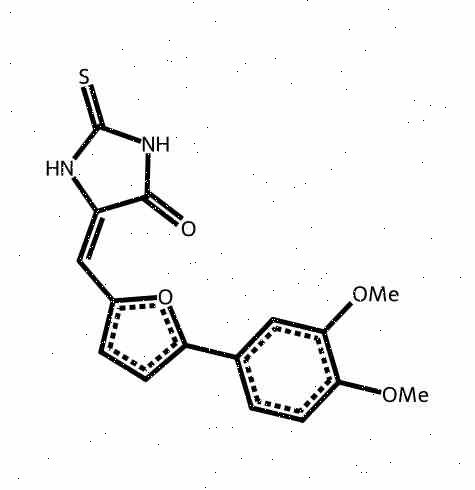 COc1ccc(-c2ccc(C=C3NC(=S)NC3=O)o2)cc1OC